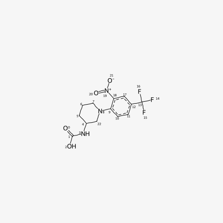 O=C(O)NC1CCCN(c2ccc(C(F)(F)F)cc2[N+](=O)[O-])C1